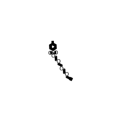 C#CCOCCOCCOCCOS(=O)(=O)c1ccc(C)cc1